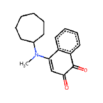 CN(C1=CC(=O)C(=O)c2ccccc21)C1CCCCCC1